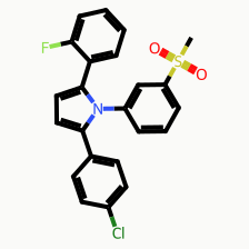 CS(=O)(=O)c1cccc(-n2c(-c3ccc(Cl)cc3)ccc2-c2ccccc2F)c1